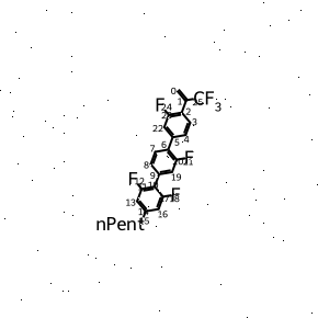 C=C(c1ccc(-c2ccc(-c3c(F)cc(CCCCC)cc3F)cc2F)cc1F)C(F)(F)F